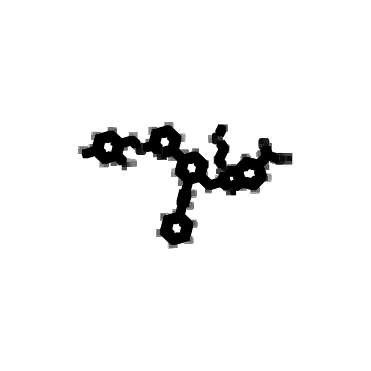 COCCn1c(Cc2ccc(-c3cccc(OCc4ccc(C)cc4F)n3)cc2C#Cc2ccccc2)nc2ccc(C(=O)O)cc21